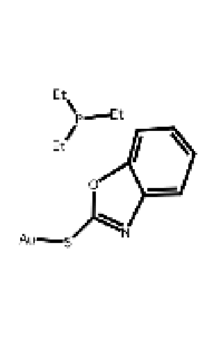 CCP(CC)CC.[Au][S]c1nc2ccccc2o1